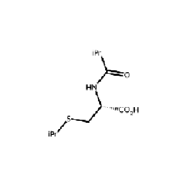 CC(C)SC[C@H](NC(=O)C(C)C)C(=O)O